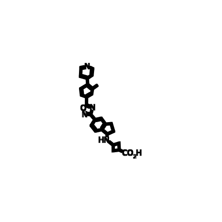 Cc1cc(-c2nc(-c3ccc4c(c3)CCC4NC3CC(C(=O)O)C3)no2)ccc1-c1ccncc1